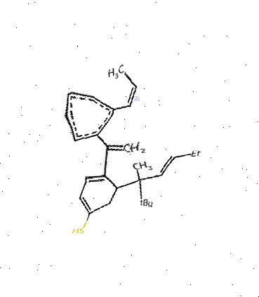 C=C(C1=CC=C(S)CC1C(C)(C=CCC)C(C)(C)C)c1ccccc1/C=C\C